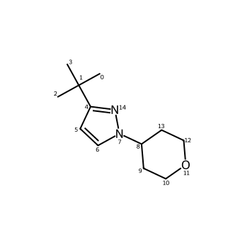 CC(C)(C)c1ccn(C2CCOCC2)n1